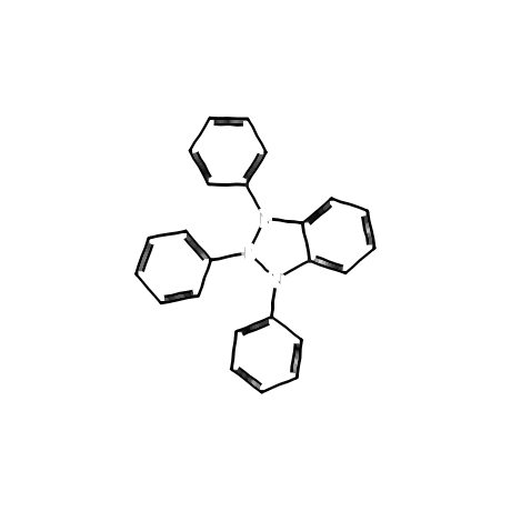 c1ccc(N2c3ccccc3N(c3ccccc3)P2c2ccccc2)cc1